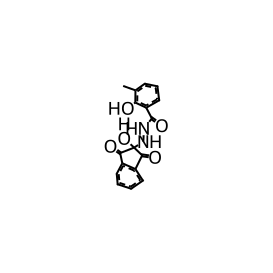 Cc1cccc(C(=O)NNC2(O)C(=O)c3ccccc3C2=O)c1O